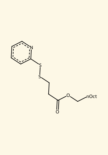 CCCCCCCCCOC(=O)CCSSc1ccccn1